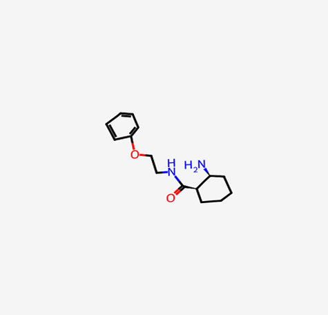 N[C@H]1CCCC[C@H]1C(=O)NCCOc1ccccc1